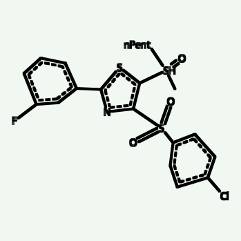 CCCCC[SH](C)(=O)c1sc(-c2cccc(F)c2)nc1S(=O)(=O)c1ccc(Cl)cc1